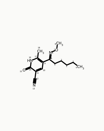 CCCCCC(=NOC)c1cc(C#N)c(=O)[nH]c1C